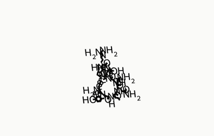 CC[C@H](C)C1NC(=O)[C@H](Cc2ccc(O)cc2)NC(=O)[C@@H](N)CSSC[C@@H](C(=O)N2CCCC2C(=O)N[C@@H](CCCN=C(N)N)C(=O)NCC(=O)O)NC(=O)[C@H](CC(N)=O)NC(=O)[C@H](CCC(N)=O)NC1=O